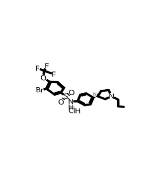 CCCN1CC[C@@H](c2ccc(NS(=O)(=O)c3ccc(OC(F)(F)F)c(Br)c3)cc2)C1.Cl